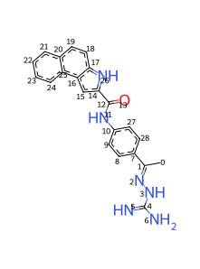 C/C(=N\NC(=N)N)c1ccc(NC(=O)c2cc3c(ccc4ccccc43)[nH]2)cc1